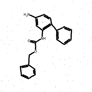 Nc1ccc(-c2ccccc2)c(NC(=O)OCc2ccccc2)c1